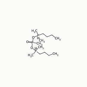 CCCC[PH](C)(C)OP(C)(=O)O[PH](C)(C)CCCC